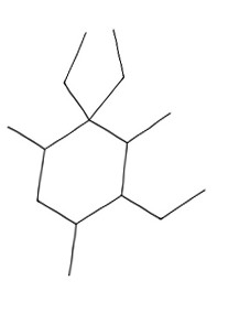 CCC1C(C)CC(C)C(CC)(CC)C1C